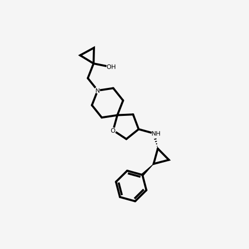 OC1(CN2CCC3(CC2)CC(N[C@@H]2C[C@H]2c2ccccc2)CO3)CC1